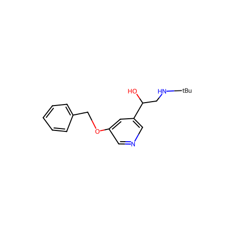 CC(C)(C)NCC(O)c1cncc(OCc2ccccc2)c1